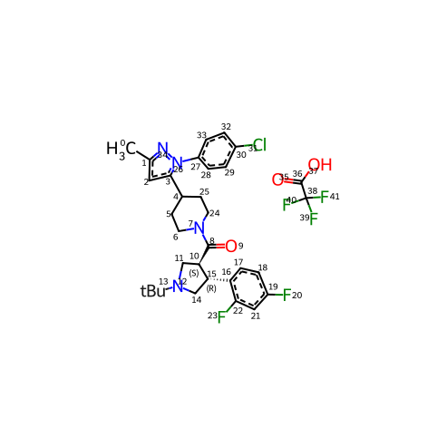 Cc1cc(C2CCN(C(=O)[C@@H]3CN(C(C)(C)C)C[C@H]3c3ccc(F)cc3F)CC2)n(-c2ccc(Cl)cc2)n1.O=C(O)C(F)(F)F